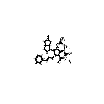 Cn1c2c(c(=O)n(C)c1=O)N(CC=Cc1ccccc1)C(N1CCC3CNCC31)N2OC(=O)C(F)(F)F